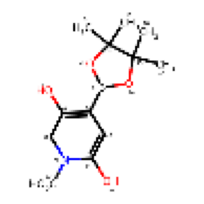 CC1(C)OB(C2=C(O)CN(C(=O)O)C(O)=C2)OC1(C)C